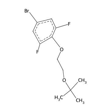 CC(C)(C)OCCOc1c(F)cc(Br)cc1F